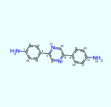 Nc1ccc(-c2cnc(-c3ccc(N)cc3)cn2)cc1